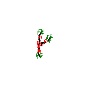 FC(F)(F)C(F)(F)COCC[O][Al]([O]CCOCC(F)(F)C(F)(F)F)[O]CCOCC(F)(F)C(F)(F)F